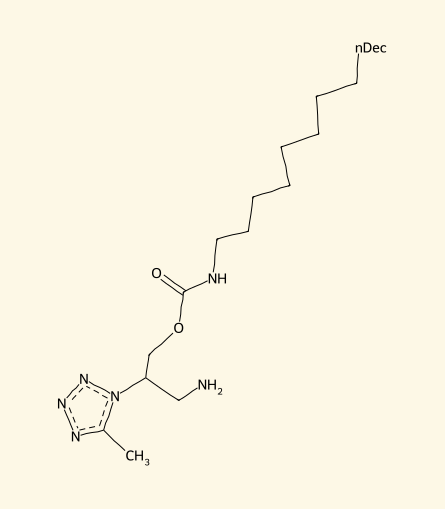 CCCCCCCCCCCCCCCCCCNC(=O)OCC(CN)n1nnnc1C